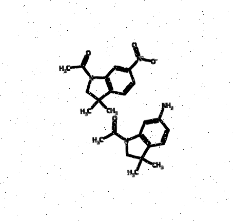 CC(=O)N1CC(C)(C)c2ccc(N)cc21.CC(=O)N1CC(C)(C)c2ccc([N+](=O)[O-])cc21